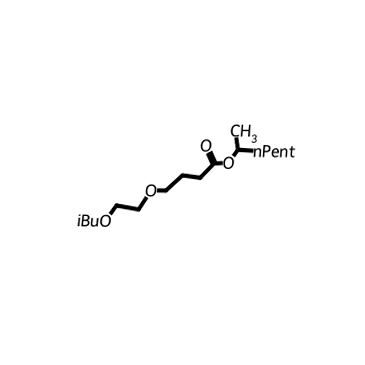 CCCCCC(C)OC(=O)CCCOCCOCC(C)C